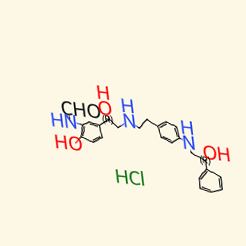 Cl.O=CNc1cc([C@@H](O)CNCCc2ccc(NC[C@H](O)c3ccccc3)cc2)ccc1O